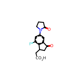 O=C(O)CC1CC(=O)c2cc(N3CCCC3=O)cc(F)c21